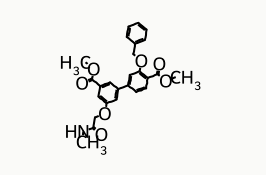 CNC(=O)COc1cc(C(=O)OC)cc(-c2ccc(C(=O)OC)c(OCc3ccccc3)c2)c1